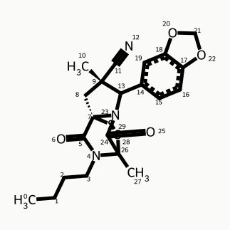 CCCCN1C(=O)[C@@]23C[C@](C)(C#N)C(c4ccc5c(c4)OCO5)N2C(=O)C1(C)SS3